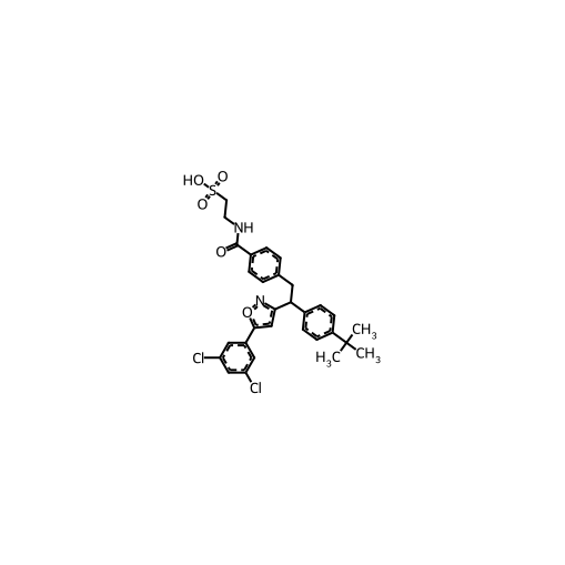 CC(C)(C)c1ccc(C(Cc2ccc(C(=O)NCCS(=O)(=O)O)cc2)c2cc(-c3cc(Cl)cc(Cl)c3)on2)cc1